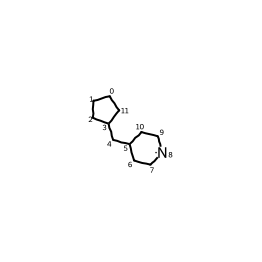 C1CCC(CC2CC[N]CC2)C1